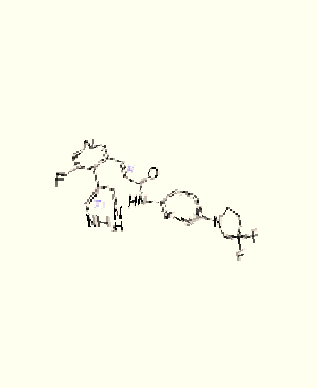 N=C/C(=C\N)c1c(F)cncc1/C=C/C(=O)Nc1ccc(N2CCC(F)(F)C2)cc1